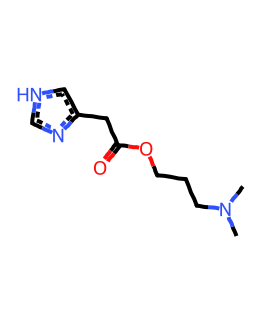 CN(C)CCCOC(=O)Cc1c[nH]cn1